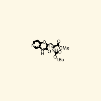 COC(=O)[C@H](C[C@@H]1Oc2ccncc2NC1=O)NC(=O)OC(C)(C)C